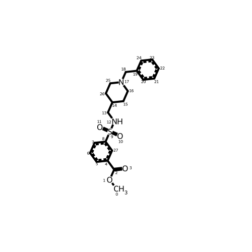 COC(=O)c1cccc(S(=O)(=O)NCC2CCN(Cc3ccccc3)CC2)c1